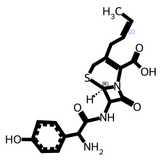 C/C=C\CC1=C(C(=O)O)N2C(=O)C(NC(=O)C(N)c3ccc(O)cc3)[C@H]2SC1